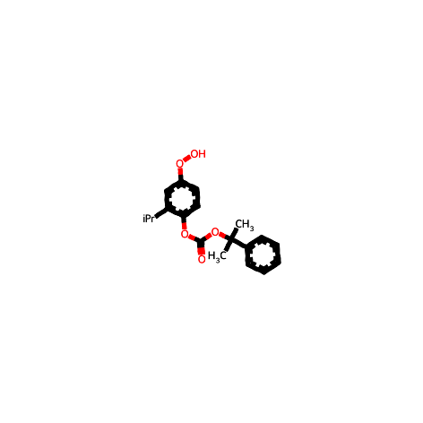 CC(C)c1cc(OO)ccc1OC(=O)OC(C)(C)c1ccccc1